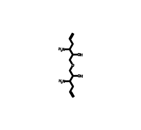 C=CCC(N)C(O)COCC(O)C(N)CC=C